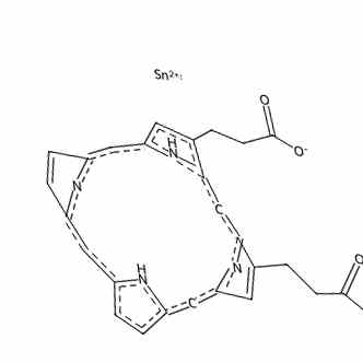 O=C([O-])CCC1=Cc2cc3ccc(cc4nc(cc5cc(CCC(=O)[O-])c(cc1n2)[nH]5)C=C4)[nH]3.[Sn+2]